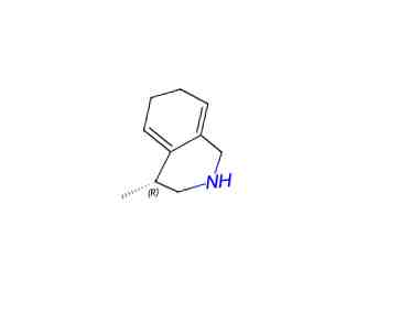 C[C@H]1CNCC2=CCCC=C21